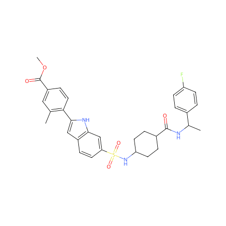 COC(=O)c1ccc(-c2cc3ccc(S(=O)(=O)NC4CCC(C(=O)NC(C)c5ccc(F)cc5)CC4)cc3[nH]2)c(C)c1